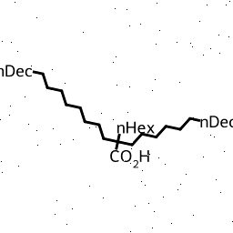 CCCCCCCCCCCCCCCCCCC(CCCCCC)(CCCCCCCCCCCCCCCC)C(=O)O